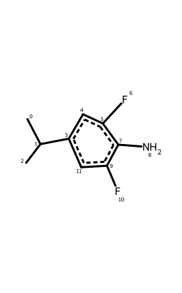 CC(C)c1cc(F)c(N)c(F)c1